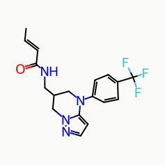 C/C=C/C(=O)NCC1CN(c2ccc(C(F)(F)F)cc2)c2ccnn2C1